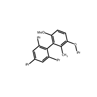 COc1ccc(OC(C)C)c(C)c1-c1c(C(C)C)cc(C(C)C)cc1C(C)C